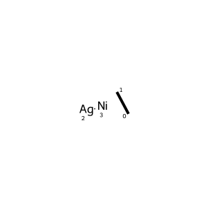 CC.[Ag].[Ni]